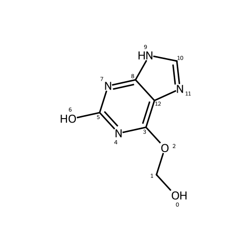 OCOc1nc(O)nc2[nH]cnc12